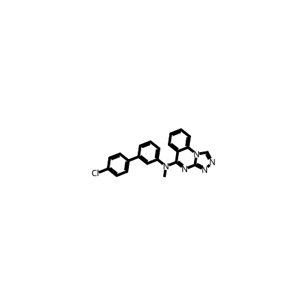 CN(c1cccc(-c2ccc(Cl)cc2)c1)c1nc2nncn2c2ccccc12